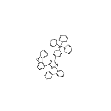 c1ccc(-c2ccccc2-c2nc(-c3ccc([Si](c4ccccc4)(c4ccccc4)c4ccccc4)cc3)nc(-c3cccc4oc5ccccc5c34)n2)cc1